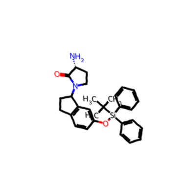 CC(C)(C)[Si](Oc1ccc2c(c1)C(N1CC[C@@H](N)C1=O)CC2)(c1ccccc1)c1ccccc1